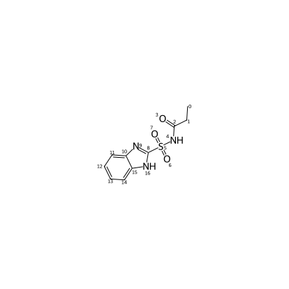 CCC(=O)NS(=O)(=O)c1nc2ccccc2[nH]1